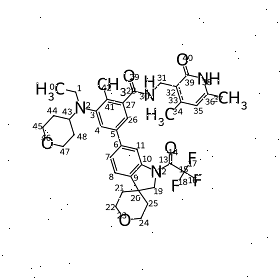 CCN(c1cc(-c2ccc3c(c2)N(C(=O)C(F)(F)F)CC32CCOCC2)cc(C(=O)NCc2c(C)cc(C)[nH]c2=O)c1C)C1CCOCC1